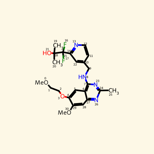 COCCOc1cc2c(NCc3ccnc(C(F)(F)C(C)(C)O)c3)nc(C)nc2cc1OC